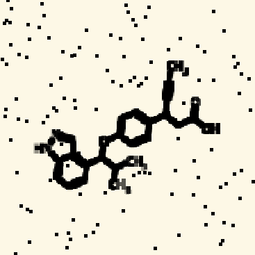 CC#CC(CC(=O)O)c1ccc(OC(c2cccc3[nH]ncc23)C(C)C)cc1